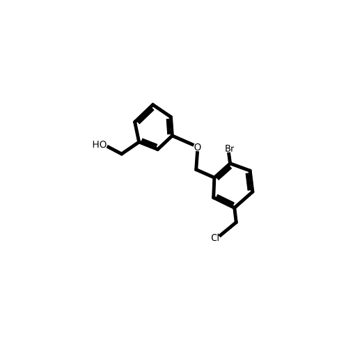 OCc1cccc(OCc2cc(CCl)ccc2Br)c1